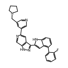 Fc1ccccc1-c1cccc2[nH]c(-c3n[nH]c4cnc(-c5cncc(CN6CCCC6)c5)cc34)cc12